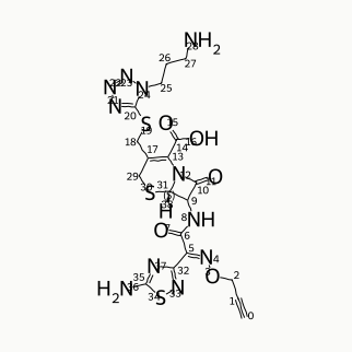 C#CCON=C(C(=O)NC1C(=O)N2C(C(=O)O)=C(CSc3nnnn3CCCN)CS[C@@H]12)c1nsc(N)n1